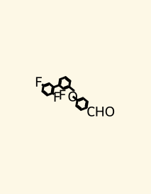 O=Cc1ccc(OCc2cccc(-c3cc(F)ccc3F)c2F)cc1